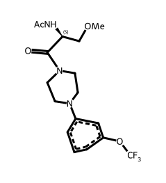 COC[C@H](NC(C)=O)C(=O)N1CCN(c2cccc(OC(F)(F)F)c2)CC1